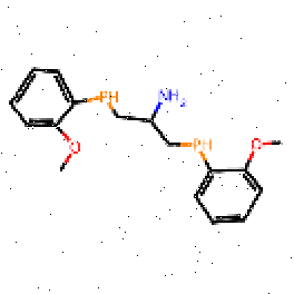 COc1ccccc1PCC(N)CPc1ccccc1OC